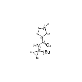 CN1CCC(C(=O)NC2(C(C)(C)C)CC2)C1